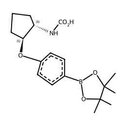 CC1(C)OB(c2ccc(O[C@H]3CCC[C@@H]3NC(=O)O)cc2)OC1(C)C